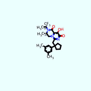 Cc1cc(C)cc(C2(Cc3nc(=O)c(O)c4n3C[C@@H](C)N([C@H](C)C(F)(F)F)C4=O)CCCC2)c1